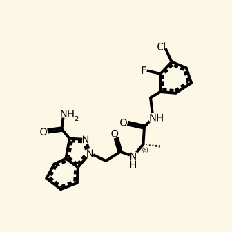 C[C@H](NC(=O)Cn1nc(C(N)=O)c2ccccc21)C(=O)NCc1cccc(Cl)c1F